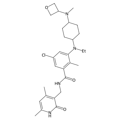 CCN(c1cc(Cl)cc(C(=O)NCc2c(C)cc(C)[nH]c2=O)c1C)C1CCC(N(C)C2COC2)CC1